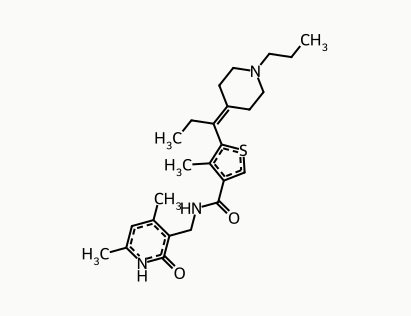 CCCN1CCC(=C(CC)c2scc(C(=O)NCc3c(C)cc(C)[nH]c3=O)c2C)CC1